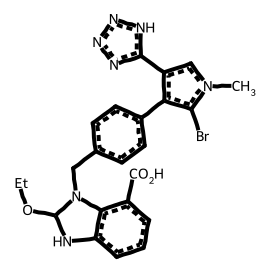 CCOC1Nc2cccc(C(=O)O)c2N1Cc1ccc(-c2c(-c3nnn[nH]3)cn(C)c2Br)cc1